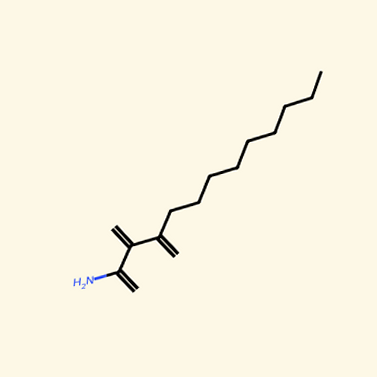 C=C(N)C(=C)C(=C)CCCCCCCCC